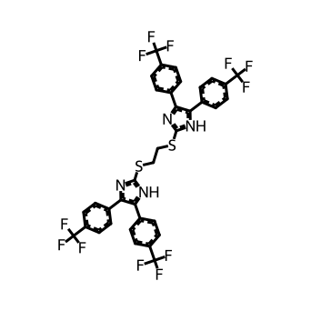 FC(F)(F)c1ccc(-c2nc(SCCSc3nc(-c4ccc(C(F)(F)F)cc4)c(-c4ccc(C(F)(F)F)cc4)[nH]3)[nH]c2-c2ccc(C(F)(F)F)cc2)cc1